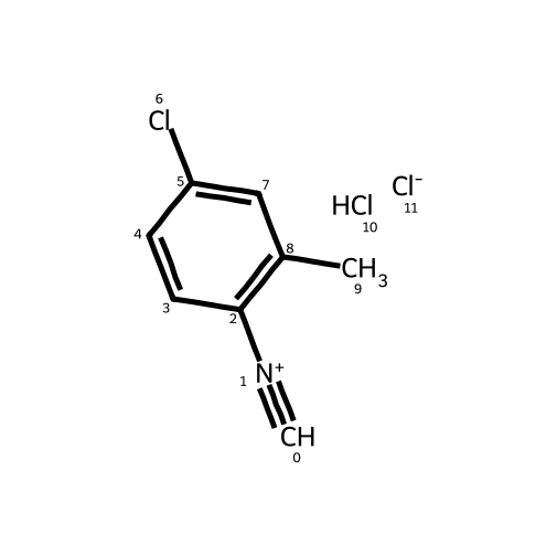 C#[N+]c1ccc(Cl)cc1C.Cl.[Cl-]